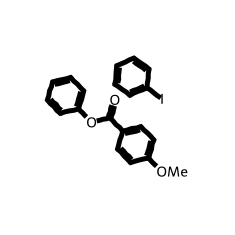 COc1ccc(C(=O)Oc2ccccc2)cc1.Ic1ccccc1